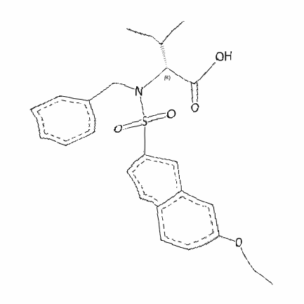 CCOc1ccc2ccc(S(=O)(=O)N(Cc3ccccc3)[C@@H](C(=O)O)C(C)C)cc2c1